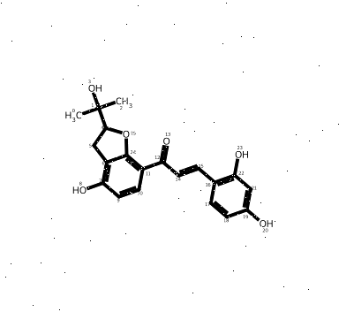 CC(C)(O)C1Cc2c(O)ccc(C(=O)/C=C/c3ccc(O)cc3O)c2O1